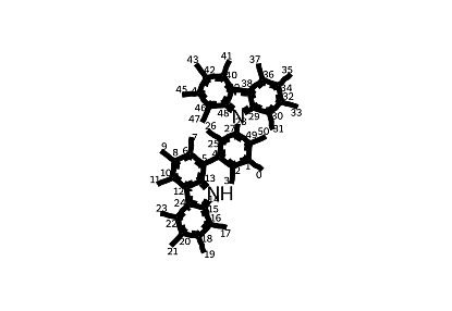 Cc1c(C)c(-c2c(C)c(C)c(C)c3c2[nH]c2c(C)c(C)c(C)c(C)c23)c(C)c(-n2c3c(C)c(C)c(C)c(C)c3c3c(C)c(C)c(C)c(C)c32)c1C